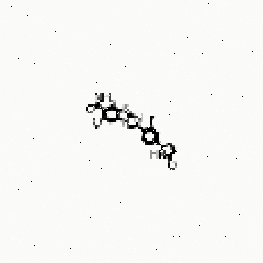 COc1cc2c(cc1C(N)=O)sc1nc(-c3ccc(C4CCC(=O)N4)cc3F)cn12